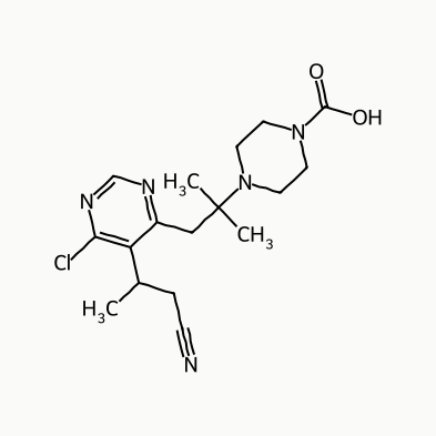 CC(CC#N)c1c(Cl)ncnc1CC(C)(C)N1CCN(C(=O)O)CC1